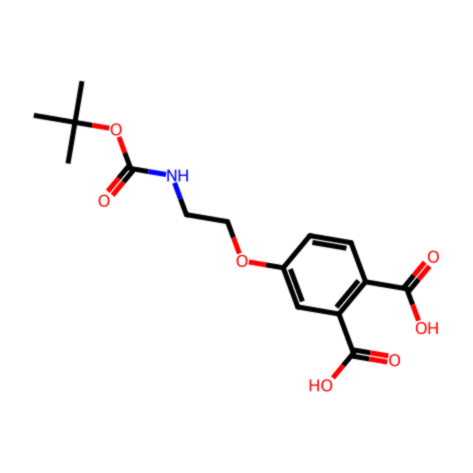 CC(C)(C)OC(=O)NCCOc1ccc(C(=O)O)c(C(=O)O)c1